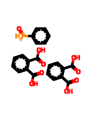 O=C(O)c1ccccc1C(=O)O.O=C(O)c1ccccc1C(=O)O.O=[PH2]c1ccccc1